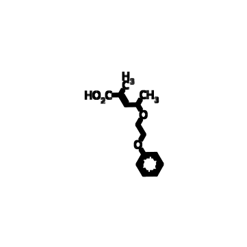 CC(=CC(C)OCCOc1ccccc1)C(=O)O